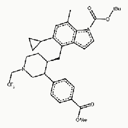 COC(=O)c1ccc(C2CN(CC(F)(F)F)CC[C@H]2Cc2c(C3CC3)cc(C)c3c2ccn3C(=O)OC(C)(C)C)cc1